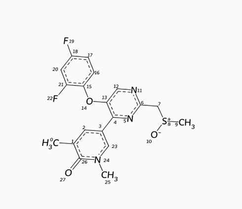 Cc1cc(-c2nc(C[S+](C)[O-])ncc2Oc2ccc(F)cc2F)cn(C)c1=O